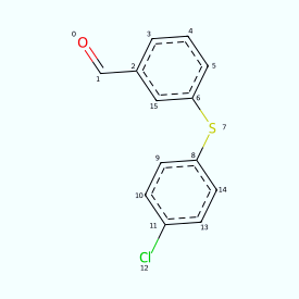 O=Cc1cccc(Sc2ccc(Cl)cc2)c1